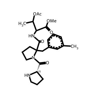 COC(=O)C(NC(=O)C1(Cc2cccc(C)c2)CCCN1C(=O)[C@@H]1CCCN1)C(C)OC(C)=O